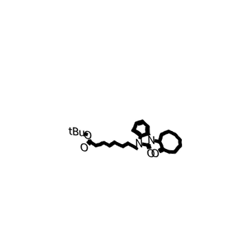 CC(C)(C)OC(=O)CCCCCCCn1c(=O)n(C2CCCCCCCC2=O)c2ccccc21